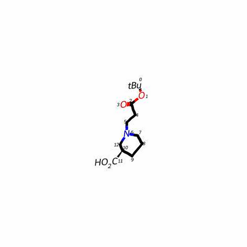 CC(C)(C)OC(=O)CCN1CCC[C@@H](C(=O)O)C1